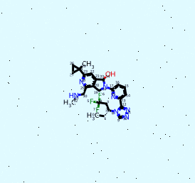 CC[C@H](CC(F)(F)F)n1cnnc1-c1cccc(N2Cc3c(cc(C4(C)CC4)nc3CNC)C2O)n1